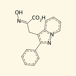 O=C(O)C(Cc1c(-c2ccccc2)nn2ccccc12)=NO